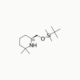 CC1(C)CCC[C@@H](CO[Si](C)(C)C(C)(C)C)N1